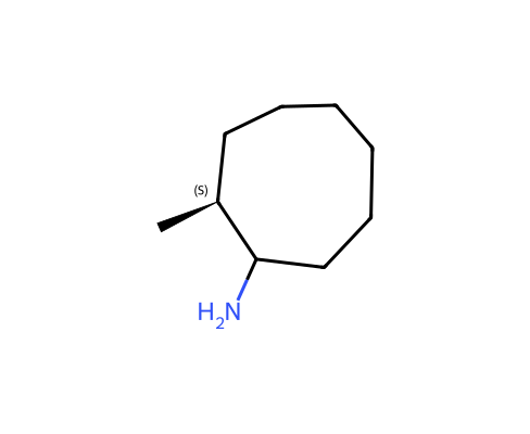 C[C@H]1CCCCCCC1N